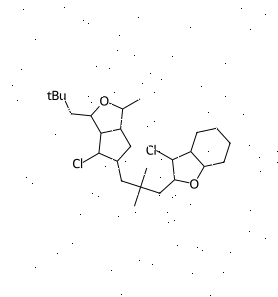 CC1OC(CC(C)(C)C)C2C(Cl)C(CC(C)(C)CC3OC4CCCCC4C3Cl)CC12